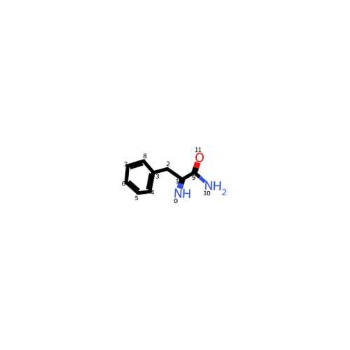 N=C(Cc1ccccc1)C(N)=O